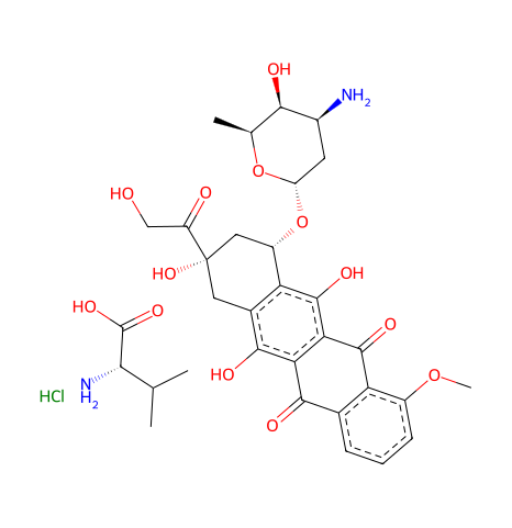 CC(C)[C@H](N)C(=O)O.COc1cccc2c1C(=O)c1c(O)c3c(c(O)c1C2=O)C[C@@](O)(C(=O)CO)C[C@@H]3O[C@H]1C[C@H](N)[C@H](O)[C@H](C)O1.Cl